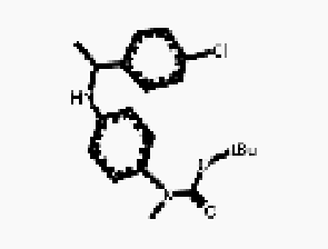 CC(Nc1ccc(N(C)C(=O)OC(C)(C)C)cc1)c1ccc(Cl)cc1